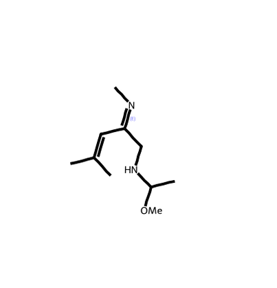 C/N=C(\C=C(C)C)CNC(C)OC